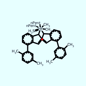 CCCC[CH2][Hf]([CH3])([CH3])(=[SiH2])([CH2]CCCC)([CH]1C=Cc2c(-c3cc(C)ccc3C)cccc21)[CH]1C=Cc2c(-c3cc(C)ccc3C)cccc21